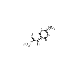 O=C(O)C(=O)Nc1ccc([N+](=O)[O-])cc1